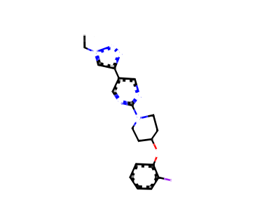 O=C(O)Cn1cc(-c2cnc(N3CCC(Oc4ccccc4I)CC3)nc2)nn1